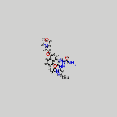 Cn1nc(C(C)(C)C)cc1NC(=O)/C(=N\NC(N)=O)c1ccc(OCCN2CCOCC2)c2ccccc12